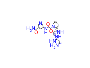 C[C@@H]1CC[C@@H](C(=N)/C=C\NC(=N)/C=C\N)N(C(=O)C(=O)Nc2cncc(C(N)=O)c2)C1